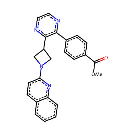 COC(=O)c1ccc(-c2nccnc2C2CN(c3ccc4ccccc4n3)C2)cc1